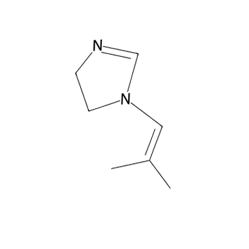 CC(C)=CN1C=NCC1